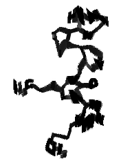 CCCCn1nnnc1-n1cc(CCC)n(Cc2cnccc2-c2ccccc2-c2nnn[nH]2)c1=O